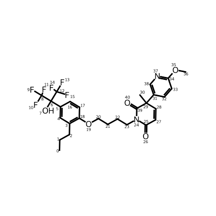 CCCc1cc(C(O)(C(F)(F)F)C(F)(F)F)ccc1OCCCCN1C(=O)C=CC(C)(c2ccc(OC)nc2)C1=O